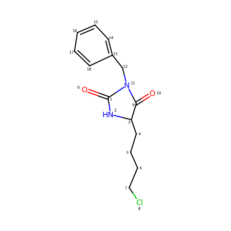 O=C1NC(CCCCCl)C(=O)N1Cc1ccccc1